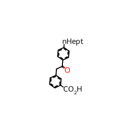 CCCCCCCc1ccc(C(=O)Cc2cccc(C(=O)O)c2)cc1